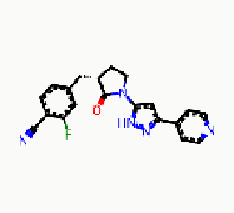 N#Cc1ccc(C[C@@H]2CCN(c3cc(-c4ccncc4)n[nH]3)C2=O)cc1F